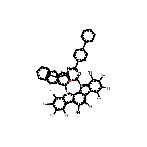 [2H]c1c([2H])c([2H])c2c(c1[2H])c1c([2H])c([2H])c3c4c([2H])c([2H])c([2H])c([2H])c4n(-c4nc(-c5ccccc5)nc(-c5ccc(-c6ccccc6)cc5)n4)c3c1n2-c1cccc(-c2ccccc2)c1